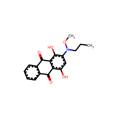 CCCN(OC)c1cc(O)c2c(c1O)C(=O)c1ccccc1C2=O